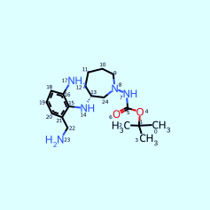 CC(C)(C)OC(=O)NN1CCCC[C@@H](Nc2c(N)cccc2CN)C1